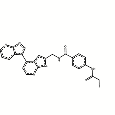 CCC(=O)Nc1ccc(C(=O)NCc2cc3c(-c4cnn5ncccc45)ccnc3[nH]2)cc1